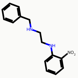 O=[N+]([O-])c1ccccc1NCCNCc1ccccc1